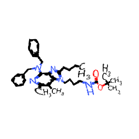 CCCCc1nc2c(N(Cc3ccccc3)Cc3ccccc3)nc(C)c(C)c2n1CCCCNC(=O)OC(C)(C)C